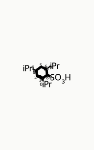 CC(C)C1=C[C@@H](C(C)C)C[C@@H](C(C)C)C1S(=O)(=O)O